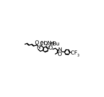 CC(C)(C)N.CC=CC=CC(=O)N1CCc2ccc(OCCc3nc(-c4ccc(C(F)(F)F)cc4)oc3C)cc2C1C(=O)O